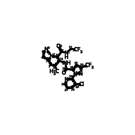 Cc1cc2ccnn2c(C(=O)NCC(F)(F)F)c1NC(=O)c1cc(C(F)(F)F)nn1-c1ncccc1Cl